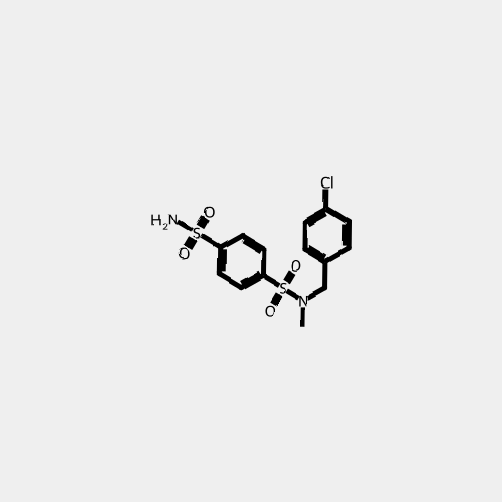 CN(Cc1ccc(Cl)cc1)S(=O)(=O)c1ccc(S(N)(=O)=O)cc1